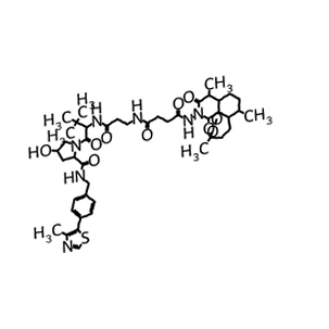 Cc1ncsc1-c1ccc(CNC(=O)C2CC(O)CN2C(=O)C(NC(=O)CCNC(=O)CCC(=O)NN2C(=O)C(C)C3CCC(C)C4CCC5(C)OOC43C2O5)C(C)(C)C)cc1